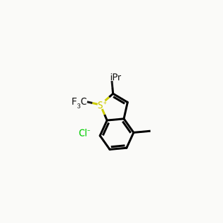 Cc1cccc2c1cc(C(C)C)[s+]2C(F)(F)F.[Cl-]